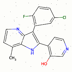 Cc1ccnc2c(-c3cc(Cl)ccc3F)c(-c3ccncc3O)[nH]c12